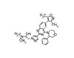 Cc1noc(C)c1-c1ccc2nc(-c3cnn(CC(O)N(C)C)c3)nc(N3CCOCC3c3ccccc3)c2c1